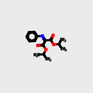 CC(C)OC(=O)C(=Nc1ccccc1)C(=O)OC(C)C